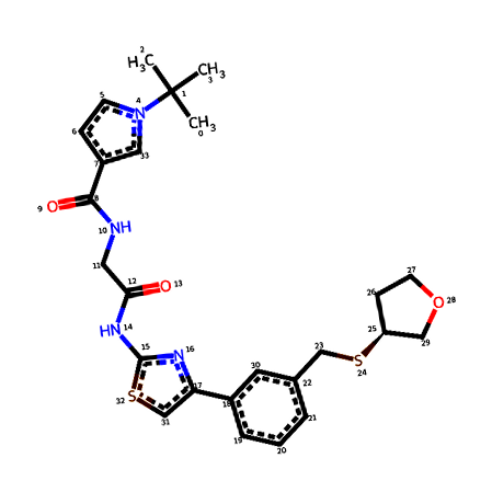 CC(C)(C)n1ccc(C(=O)NCC(=O)Nc2nc(-c3cccc(CS[C@H]4CCOC4)c3)cs2)c1